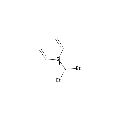 C=C[SiH](C=C)N(CC)CC